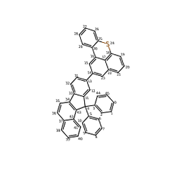 c1ccc(C2(c3ccccc3)c3cc(-c4cc5c6c(cccc6c4)Sc4ccccc4-5)ccc3-c3ccc4ccccc4c32)cc1